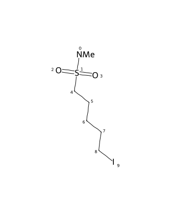 CNS(=O)(=O)CCCCCI